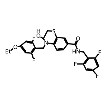 CCOc1cc(F)c(CN2c3ccc(C(=O)NCc4c(F)cc(F)cc4F)cc3SCC2O)c(F)c1